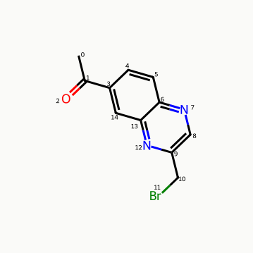 CC(=O)c1ccc2ncc(CBr)nc2c1